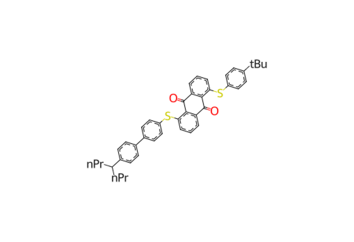 CCCC(CCC)c1ccc(-c2ccc(Sc3cccc4c3C(=O)c3cccc(Sc5ccc(C(C)(C)C)cc5)c3C4=O)cc2)cc1